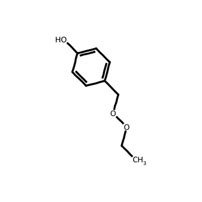 CCOOCc1ccc(O)cc1